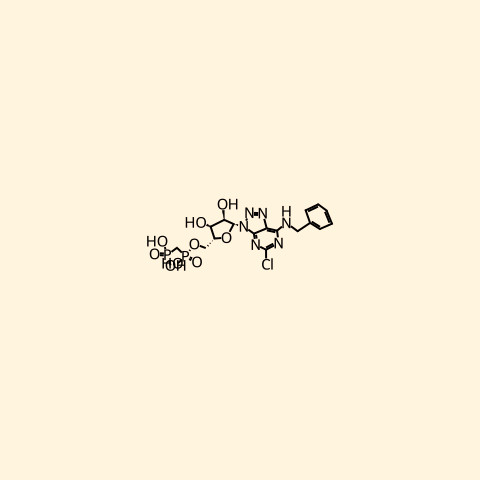 O=P(O)(O)CP(=O)(O)OC[C@H]1O[C@@H](n2nnc3c(NCc4ccccc4)nc(Cl)nc32)[C@H](O)[C@@H]1O